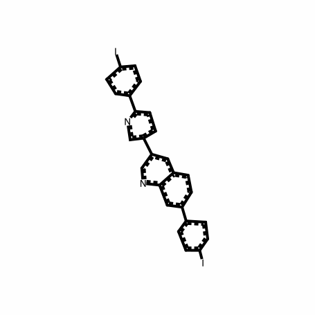 Ic1ccc(-c2ccc3cc(-c4ccc(-c5ccc(I)cc5)nc4)cnc3c2)cc1